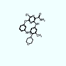 CCc1nc(C(N)=O)c(Nc2ccc(N3CCOCC3)c(C)c2)nc1Oc1cccc(N)c1